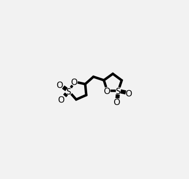 O=S1(=O)CCC(CC2CCS(=O)(=O)O2)O1